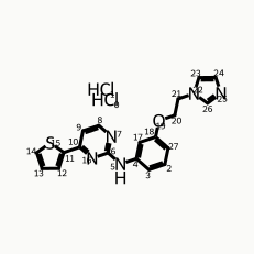 Cl.Cl.c1cc(Nc2nccc(-c3cccs3)n2)cc(OCCn2ccnc2)c1